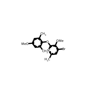 COc1cc(C)c(Oc2nc(C)cc(Br)c2OC)c(C)c1